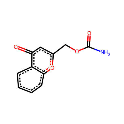 NC(=O)OCc1cc(=O)c2ccccc2o1